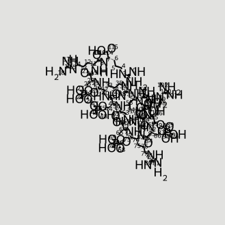 N=C(N)NCCC[C@H](NC(=O)[C@H](CCCNC(=N)N)NC(=O)[C@H](COP(=O)(O)O)NC(=O)[C@H](CCCNC(=N)N)NC(=O)[C@H](COP(=O)(O)O)NC(=O)[C@H](CCCNC(=N)N)NC(=O)[C@H](COP(=O)(O)O)NC(=O)[C@H](CCCNC(=N)N)NC(=O)[C@H](COP(=O)(O)O)NC(=O)[C@H](CCCNC(=N)N)NC(=O)[C@@H](N)COP(=O)(O)O)C(=O)O